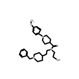 O=C(C1CCN(c2ccc(OC(F)(F)F)cc2)CC1)N(CCO)CCC1CCN(Cc2ccccc2)CC1